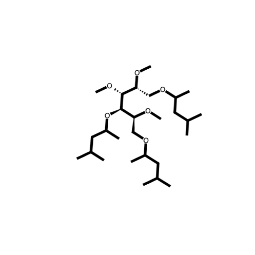 CO[C@@H]([C@H](OC(C)CC(C)C)[C@H](COC(C)CC(C)C)OC)[C@@H](COC(C)CC(C)C)OC